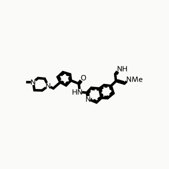 CN/C=C(\C=N)c1ccc2cnc(NC(=O)c3cccc(CN4CCN(C)CC4)c3)cc2c1